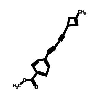 COC(=O)c1ccc(C#CC#CC2C=C(C)C2)cc1